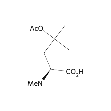 CN[C@@H](CC(C)(C)OC(C)=O)C(=O)O